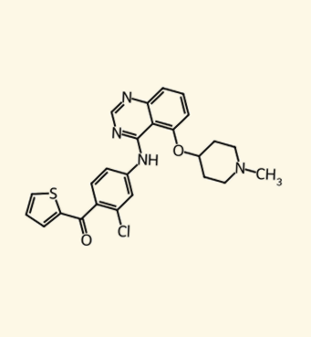 CN1CCC(Oc2cccc3ncnc(Nc4ccc(C(=O)c5cccs5)c(Cl)c4)c23)CC1